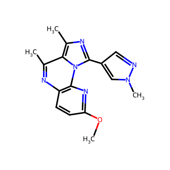 COc1ccc2nc(C)c3c(C)nc(-c4cnn(C)c4)n3c2n1